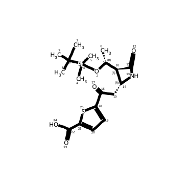 C[C@@H](O[Si](C)(C)C(C)(C)C)[C@H]1C(=O)N[C@@H]1CC(=O)c1ccc(C(=O)O)s1